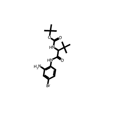 CC(C)(C)OC(=O)NC(C(=O)Nc1ccc(Br)cc1N)C(C)(C)C